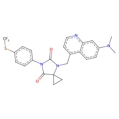 CN(C)c1ccc2c(CN3C(=O)N(c4ccc(SC(F)(F)F)cc4)C(=O)C34CC4)ccnc2c1